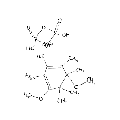 COC1=C(C)C(C)=C(C)C(C)(OC)C1(C)C.O=P(O)(O)OP(=O)(O)O